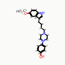 O=C(O)Oc1ccc2[nH]cc(CCCCN3CCN(c4ccc(O)cc4)CC3)c2c1